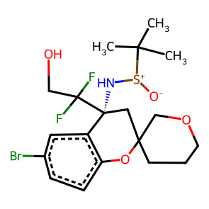 CC(C)(C)[S+]([O-])N[C@]1(C(F)(F)CO)CC2(CCCOC2)Oc2ccc(Br)cc21